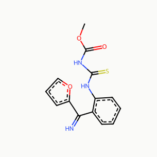 COC(=O)NC(=S)Nc1ccccc1C(=N)c1ccco1